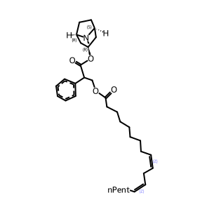 CCCCC/C=C\C/C=C\CCCCCCCC(=O)OCC(C(=O)O[C@H]1C[C@H]2CC[C@@H](C1)N2C)c1ccccc1